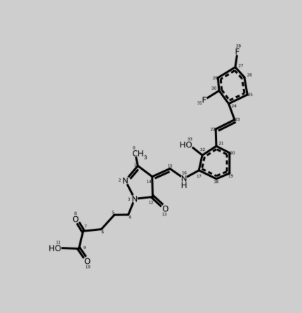 CC1=NN(CCCC(=O)C(=O)O)C(=O)/C1=C\Nc1cccc(/C=C/c2ccc(F)cc2F)c1O